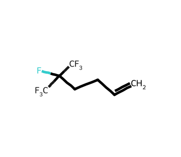 C=CCCC(F)(C(F)(F)F)C(F)(F)F